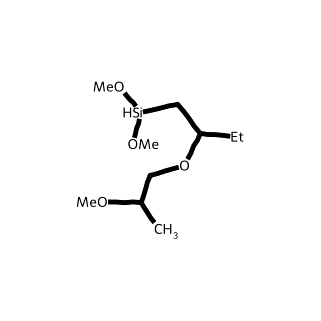 CCC(C[SiH](OC)OC)OCC(C)OC